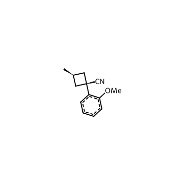 COc1ccccc1[C@]1(C#N)C[C@@H](C)C1